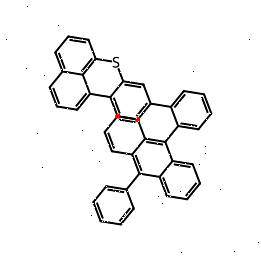 c1ccc(-c2c3ccccc3c(-c3ccccc3-c3ccc4c(c3)Sc3cccc5cccc-4c35)c3ccccc23)cc1